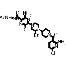 CC[C@H]1CN(c2nc(N)c(C(=O)NNC(C)=O)nc2Cl)CCN1C1CCN(C(=O)c2ccc(Cl)nc2N)CC1